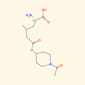 CC(=O)N1CCC(OC(=O)CC(C)C[C@H](N)C(=O)O)CC1